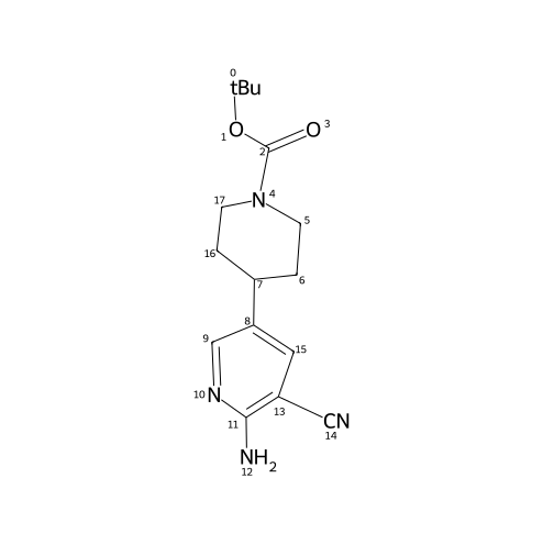 CC(C)(C)OC(=O)N1CCC(c2cnc(N)c(C#N)c2)CC1